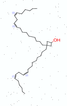 CCCCC/C=C\C/C=C\CCCCCCCCC1(CCCCCCCC/C=C\C/C=C\CCCCC)CC(O)C1